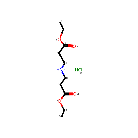 CCOC(=O)CCNCCC(=O)OCC.Cl